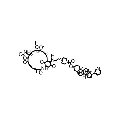 CO[C@H]1C=CC=C(C)C(=O)NC2=CC(=O)C(NCCN3CCN(C(=O)O[C@H]4CC[C@@]5(C)C(=CC[C@@H]6[C@@H]5CC[C@]5(C)C(c7cccnc7)=CC[C@@H]65)C4)CC3)=C(C[C@@H](C)C[C@H](OC)[C@@H](O)[C@@H](C)C=C(C)[C@@H]1OC(N)=O)C2=O